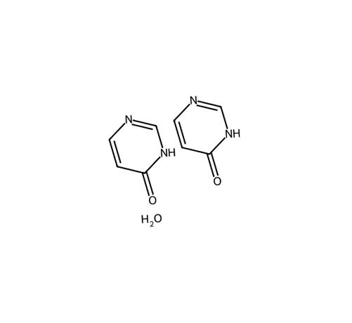 O.O=c1ccnc[nH]1.O=c1ccnc[nH]1